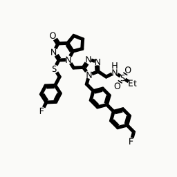 CCS(=O)(=O)NCc1nnc(Cn2c(SCc3ccc(F)cc3)nc(=O)c3c2CCC3)n1Cc1ccc(-c2ccc(CF)cc2)cc1